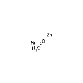 O.O.[Ni].[Zn]